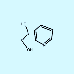 OSSO.c1ccncc1